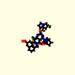 CCc1cccc2cc(O)cc(-c3nc(O)c4c(N5CC6CCC(C5)N6)nc(OC[C@@]56CCCN5C[C@H](F)C6)nc4c3F)c12